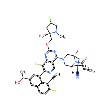 C#Cc1c(F)ccc2cc([C@H](C)O)cc(-c3ncc4c(N5C[C@H]6CC(C)(C#N)[C@@H](C5)N6C(=O)C=C)nc(OC[C@]5(C)C[C@@H](F)CN5C)nc4c3F)c12